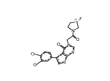 O=C(Cn1cnc2scc(-c3ccc(Cl)c(Cl)c3)c2c1=O)N1CC[C@H](F)C1